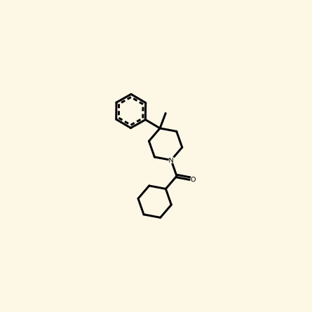 CC1(c2ccccc2)CCN(C(=O)C2CCCCC2)CC1